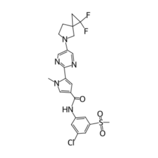 Cn1cc(C(=O)Nc2cc(Cl)cc(S(C)(=O)=O)c2)cc1-c1ncc(N2CCC3(C2)CC3(F)F)cn1